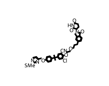 CSc1nccc(COc2ccc(C(C)(C)c3cc(Cl)c(OCCOCCCc4ccc5c(c4)CN(C4CCC(=O)NC4=O)C5=O)c(C#N)c3)cc2)n1